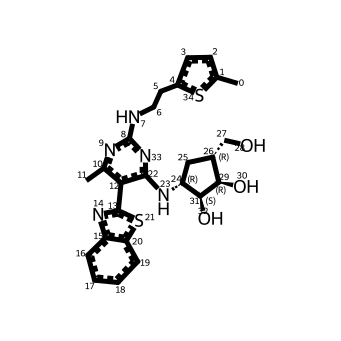 Cc1ccc(CCNc2nc(C)c(-c3nc4ccccc4s3)c(N[C@@H]3C[C@H](CO)[C@@H](O)[C@H]3O)n2)s1